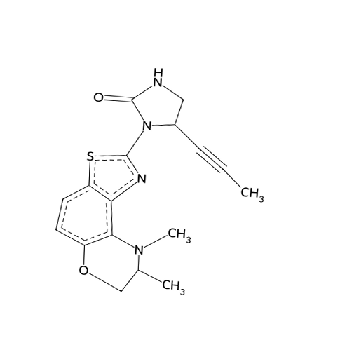 CC#CC1CNC(=O)N1c1nc2c3c(ccc2s1)OCC(C)N3C